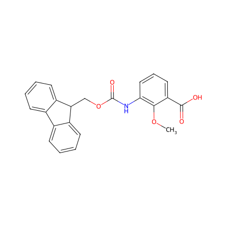 COc1c(NC(=O)OCC2c3ccccc3-c3ccccc32)cccc1C(=O)O